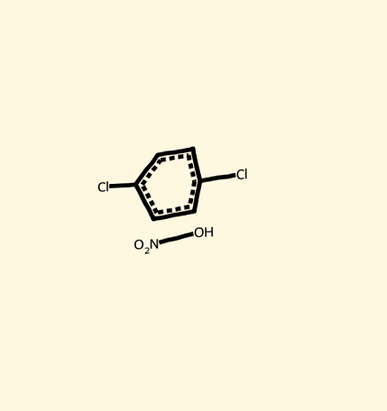 Clc1ccc(Cl)cc1.O=[N+]([O-])O